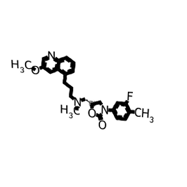 COc1cnc2cccc(CCCN(C)C[C@@H]3CN(c4ccc(C)c(F)c4)C(=O)O3)c2c1